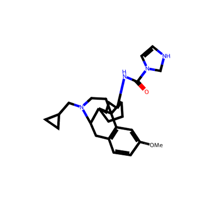 COc1ccc2c(c1)C13CCN(CC4CC4)C(C2)C12CCC(NC(=O)N1C=CNC1)C3CC2